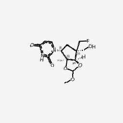 COC1O[C@@H]2[C@](CO)(CF)C[C@@H](n3ccc(=O)[nH]c3=O)[C@]2(C)O1